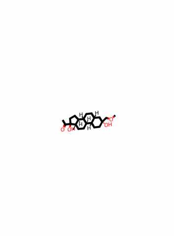 COC[C@@]1(O)CC[C@H]2[C@H](CC[C@@H]3[C@@H]2CC[C@@]2(C)[C@H]3CCC2(O)C(C)=O)C1